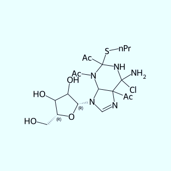 CCCSC1(C(C)=O)NC(N)(Cl)C2(C(C)=O)N=CN([C@@H]3O[C@H](CO)C(O)C3O)C2N1C(C)=O